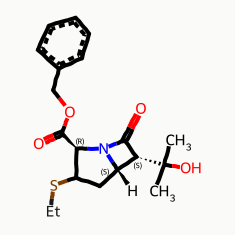 CCSC1C[C@H]2[C@@H](C(C)(C)O)C(=O)N2[C@@H]1C(=O)OCc1ccccc1